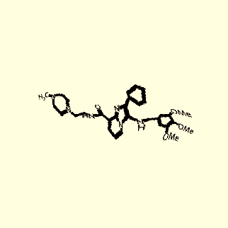 COc1cc(CNc2c(-c3ccccc3)nc3c(C(=O)NCCN4CCN(C)CC4)cccn23)cc(OC)c1OC